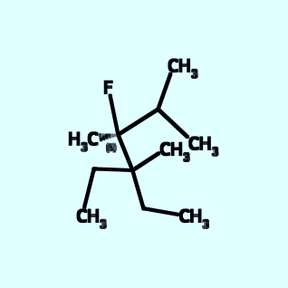 CCC(C)(CC)[C@@](C)(F)C(C)C